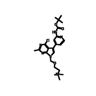 Cc1nc(Cl)c2c(-c3ccnc(NC(=O)OC(C)(C)C)c3)cn(COCC[Si](C)(C)C)c2n1